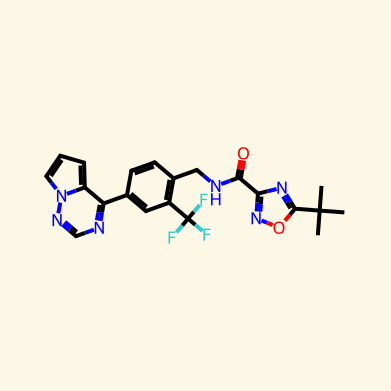 CC(C)(C)c1nc(C(=O)NCc2ccc(-c3ncnn4cccc34)cc2C(F)(F)F)no1